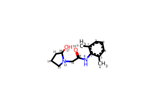 Cc1cccc(C)c1NC(=O)CN1CCCC1O